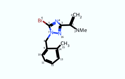 C=C(NC)c1nc(Br)n(Cc2ccccc2C)n1